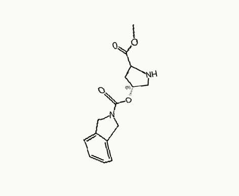 COC(=O)C1C[C@@H](OC(=O)N2Cc3ccccc3C2)CN1